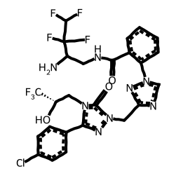 NC(CNC(=O)c1ccccc1-n1cnc(Cn2nc(-c3ccc(Cl)cc3)n(C[C@H](O)C(F)(F)F)c2=O)n1)C(F)(F)C(F)F